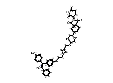 CC/C(=C(\c1ccc(O)cc1)c1ccc(OCCN2CC(COC3CNC(c4ccc5c(c4)C(=O)N(C4CCC(=O)NC4=O)C5=O)CN3)C2)cc1)c1ccccc1